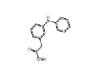 COC(=O)Cc1cccc(Nc2ccccc2)c1